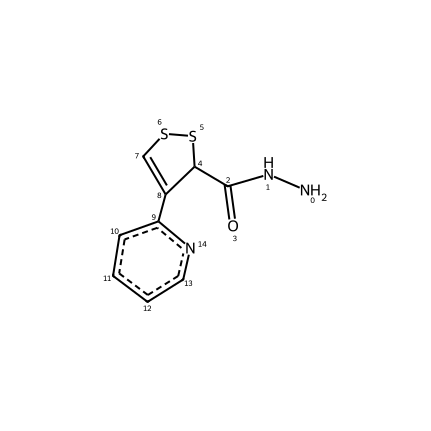 NNC(=O)C1SSC=C1c1ccccn1